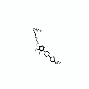 CCCC1CCC(C2CCC(c3ccc(OCCCCCCOC)c(F)c3F)CC2)CC1